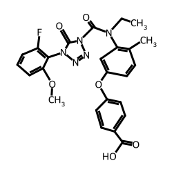 CCN(C(=O)n1nnn(-c2c(F)cccc2OC)c1=O)c1cc(Oc2ccc(C(=O)O)cc2)ccc1C